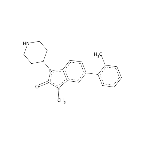 Cc1ccccc1-c1ccc2c(c1)n(C)c(=O)n2C1CCNCC1